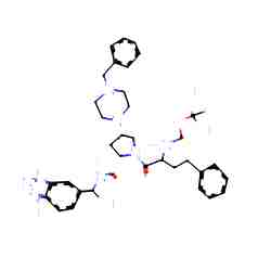 CC(NC(=O)[C@@H]1C[C@H](N2CCN(Cc3ccccc3)CC2)CN1C(=O)C(CCc1ccccc1)NC(=O)OC(C)(C)C)c1ccc2[nH]nnc2c1